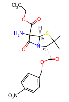 CC1(C)S[C@H]2N(C(=O)C2(N)C(=O)OCC(Cl)(Cl)Cl)[C@H]1C(=O)OCc1ccc([N+](=O)[O-])cc1